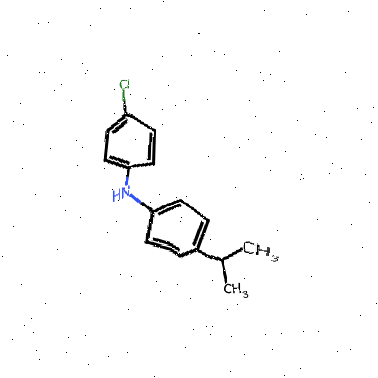 CC(C)c1ccc(Nc2ccc(Cl)cc2)cc1